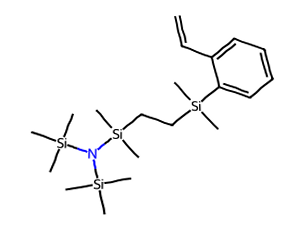 C=Cc1ccccc1[Si](C)(C)CC[Si](C)(C)N([Si](C)(C)C)[Si](C)(C)C